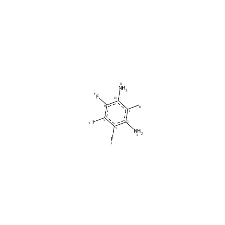 Cc1c(N)c(F)c(I)c(F)c1N